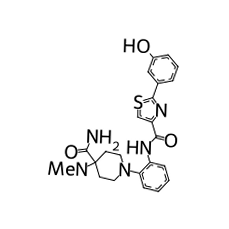 CNC1(C(N)=O)CCN(c2ccccc2NC(=O)c2csc(-c3cccc(O)c3)n2)CC1